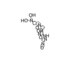 Cn1cc(-c2cccc(N3CCc4cc(N(CCO)CCO)ccc4C3=O)c2CO)cc(Nc2ccc(N3CCOCC3)cn2)c1=O